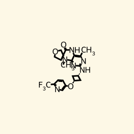 Cc1nc(N[C@H]2C[C@H](Oc3ccc(C(F)(F)F)nc3)C2)nc2c1NC(=O)C1(CCOC1)N2C